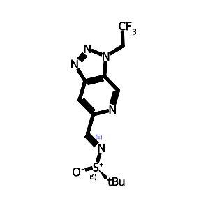 CC(C)(C)[S@@+]([O-])/N=C/c1cc2nnn(CC(F)(F)F)c2cn1